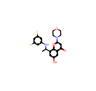 CC(Nc1cc(F)cc(F)c1)c1cc(O)cc2c(=O)cc(N3CCOCC3)oc12